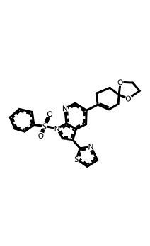 O=S(=O)(c1ccccc1)n1cc(-c2nccs2)c2cc(C3=CCC4(CC3)OCCO4)cnc21